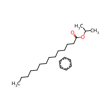 CCCCCCCCCCCCCC(=O)OC(C)C.c1ccccc1